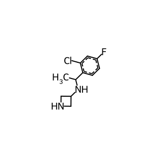 CC(NC1CNC1)c1ccc(F)cc1Cl